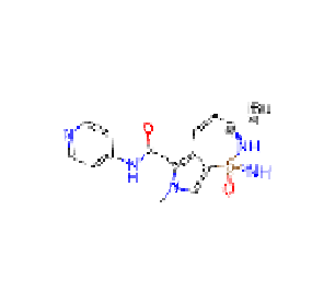 CC[C@H](C)[C@@H]1C=Cc2c(cn(C)c2C(=O)Nc2ccncc2)S(=N)(=O)N1